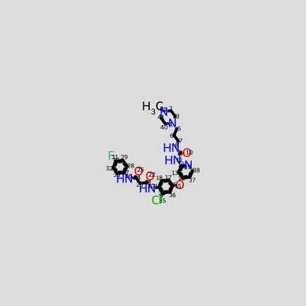 CN1CCN(CCCNC(=O)Nc2cc(Oc3ccc(NC(=O)CC(=O)Nc4ccc(F)cc4)c(Cl)c3)ccn2)CC1